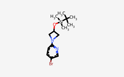 CC(C)(C)[Si](C)(C)OC1CN(c2ccc(Br)cn2)C1